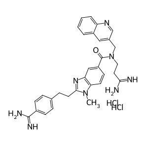 Cl.Cl.Cn1c(CCc2ccc(C(=N)N)cc2)nc2cc(C(=O)N(CCC(=N)N)Cc3cnc4ccccc4c3)ccc21